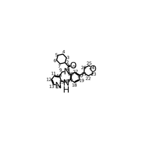 O=C(C1CCCCC1)N1Cc2cccnc2Nc2ccc(C3CCOCC3)cc21